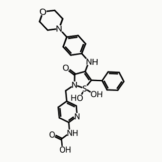 O=C(O)Nc1ccc(CN2C(=O)C(Nc3ccc(N4CCOCC4)cc3)=C(c3ccccc3)S2(O)O)cn1